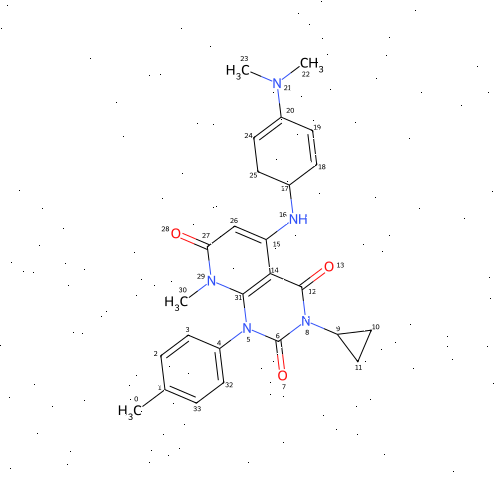 Cc1ccc(-n2c(=O)n(C3CC3)c(=O)c3c(NC4C=CC(N(C)C)=CC4)cc(=O)n(C)c32)cc1